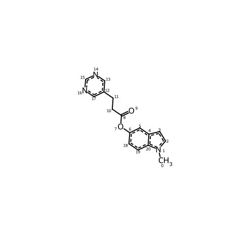 Cn1ccc2cc(OC(=O)CCc3cncnc3)ccc21